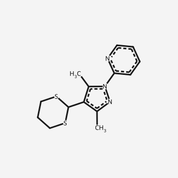 Cc1nn(-c2ccccn2)c(C)c1C1SCCCS1